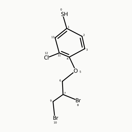 Sc1ccc(OCC(Br)CBr)c(Cl)c1